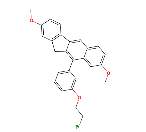 COc1ccc2c(c1)Cc1c-2cc2ccc(OC)cc2c1-c1cccc(OCCBr)c1